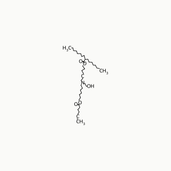 CCCCCCCCC(CCCCCCCC)C(=O)OCCCCCCCN(CCO)CCCCCCCOC(=O)CCCCCCC